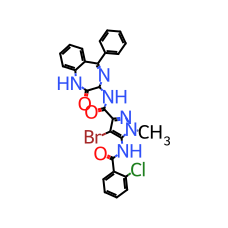 Cn1nc(C(=O)NC2N=C(c3ccccc3)c3ccccc3NC2=O)c(Br)c1NC(=O)c1ccccc1Cl